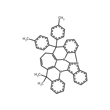 Cc1ccc(C2(c3ccc(C)cc3)C3=C4B5c6c(cccc62)-n2c5c(c5ccccc52)N2C4=C(C=CC3)C(C)(C)c3ccccc32)cc1